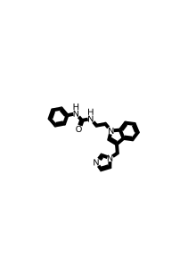 O=C(NCCn1cc(Cn2ccnc2)c2ccccc21)Nc1ccccc1